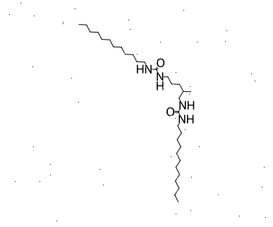 CCCCCCCCCCCCNC(=O)NCCCC(C)CNC(=O)NCCCCCCCCCCCC